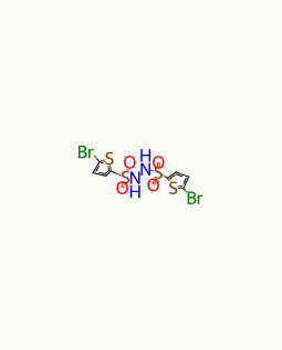 O=S(=O)(NNS(=O)(=O)c1ccc(Br)s1)c1ccc(Br)s1